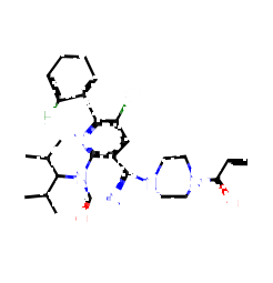 C=CC(=O)N1CCN(/C(=N/C)c2cc(Cl)c(C3=CCCC=C3F)nc2N(C=O)C(C(C)C)C(C)C)CC1